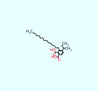 CCCCCCCCCCCCCCCc1c(C(C)CC)ccc(C(=O)O)c1C(=O)O